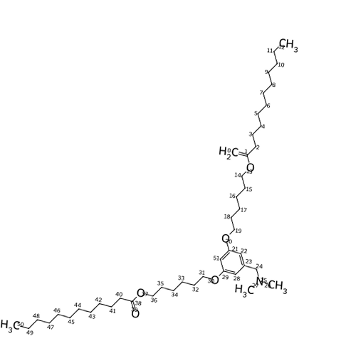 C=C(CCCCCCCCCCC)OCCCCCCOc1cc(CN(C)C)cc(OCCCCCCOC(=O)CCCCCCCCCCC)c1